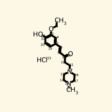 CCOc1cc(C=CC(=O)CCN2CCN(C)CC2)ccc1O.Cl